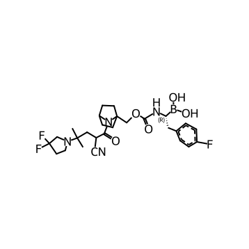 CC(C)(CC(C#N)C(=O)N1C2CCC1(COC(=O)N[C@@H](Cc1ccc(F)cc1)B(O)O)CC2)N1CCC(F)(F)C1